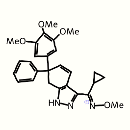 CO/N=C(/c1n[nH]c2c1C=CC(c1ccccc1)(c1cc(OC)c(OC)c(OC)c1)C2)C1CC1